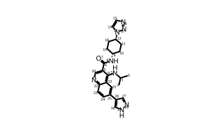 CC(C)Nc1c(C(=O)N[C@H]2CC[C@H](n3ccnn3)CC2)cnc2ccc(-c3cn[nH]c3)cc12